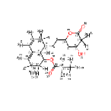 [2H]C1=C([2H])[C@]([2H])(C)[C@H](CCC2C[C@@H](O)C([2H])([2H])C(=O)O2)[C@@H]2C1=C([2H])[C@]([2H])(C)C([2H])([2H])C2OC(=O)[C@]([2H])(CC)C([2H])([2H])[2H]